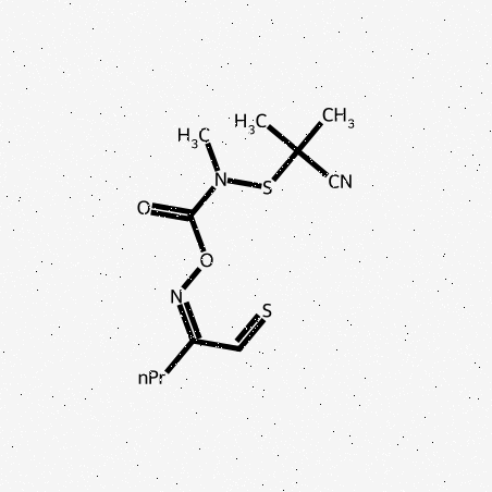 CCCC(C=S)=NOC(=O)N(C)SC(C)(C)C#N